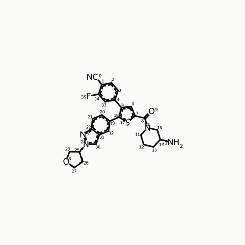 N#Cc1ccc(-c2cc(C(=O)N3CCCC(N)C3)sc2-c2ccc3nn(C4CCOC4)cc3c2)cc1F